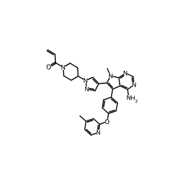 C=CC(=O)N1CCC(n2cc(-c3c(-c4ccc(Oc5cc(C)ccn5)cc4)c4c(N)ncnc4n3C)cn2)CC1